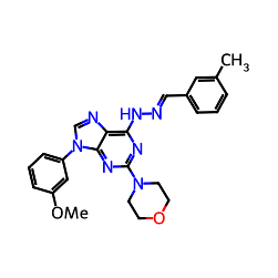 COc1cccc(-n2cnc3c(N/N=C/c4cccc(C)c4)nc(N4CCOCC4)nc32)c1